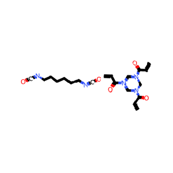 C=CC(=O)N1CN(C(=O)C=C)CN(C(=O)C=C)C1.O=C=NCCCCCCN=C=O